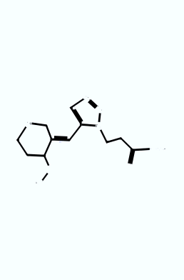 COC(=O)CCn1nncc1/C=C1\CNCCC1SC(C)=O